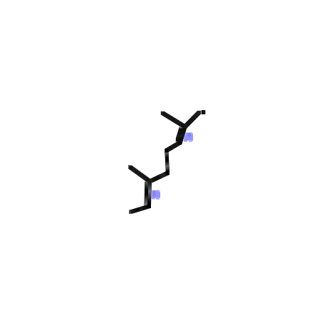 [CH2]/C(C)=C/CC/C(C)=C/C